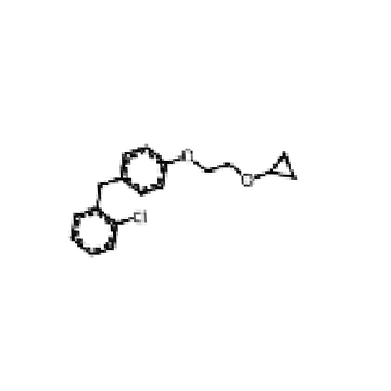 Clc1ccccc1Cc1ccc(OCCOC2CC2)cc1